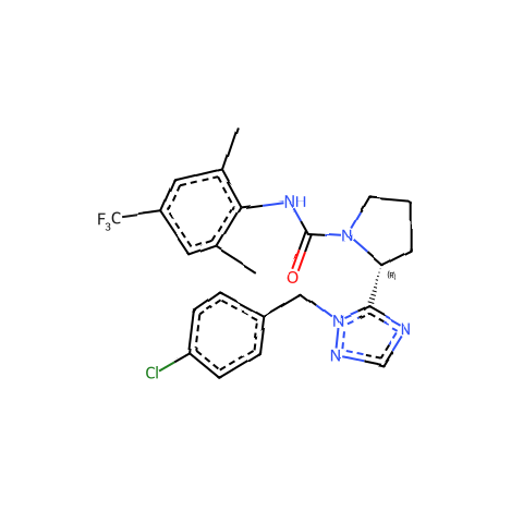 Cc1cc(C(F)(F)F)cc(C)c1NC(=O)N1CCC[C@@H]1c1ncnn1Cc1ccc(Cl)cc1